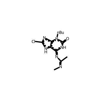 CCCCn1c(=O)[nH]/c(=N\C(C)=N/C)c2[nH]c(Cl)nc21